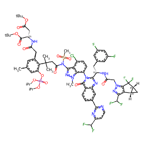 Cc1cc(CC(=O)N[C@@H](CC(=O)OC(C)(C)C)C(=O)OC(C)(C)C)c(C(C)(C)CC(=O)N(c2nn(C)c3c(-n4c([C@H](Cc5cc(F)cc(F)c5)NC(=O)Cn5nc(C(F)F)c6c5C(F)(F)[C@@H]5C[C@H]65)nc5cc(-c6nccc(C(F)F)n6)ccc5c4=O)ccc(Cl)c23)S(C)(=O)=O)c(OP(=O)(OC(C)C)OC(C)C)c1